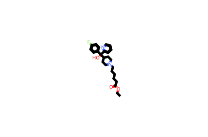 CCOC(=O)CCCCCN1CCC(C(O)(c2ccc(F)cc2)c2ccccn2)CC1